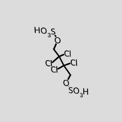 O=S(=O)(O)OCC(Cl)(Cl)C(Cl)(Cl)COS(=O)(=O)O